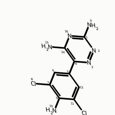 Nc1nnc(-c2cc(Cl)c(N)c(Cl)c2)c(N)n1